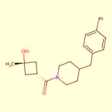 CC(C)c1ccc(CC2CCN(C(=O)[C@H]3C[C@@](C)(O)C3)CC2)cc1